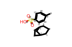 C1CC2CCC(C1)C2.Cc1ccc(S(=O)(=O)O)cc1